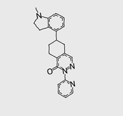 CN1CCc2c(C3CCc4c(cnn(-c5ccccn5)c4=O)C3)cccc21